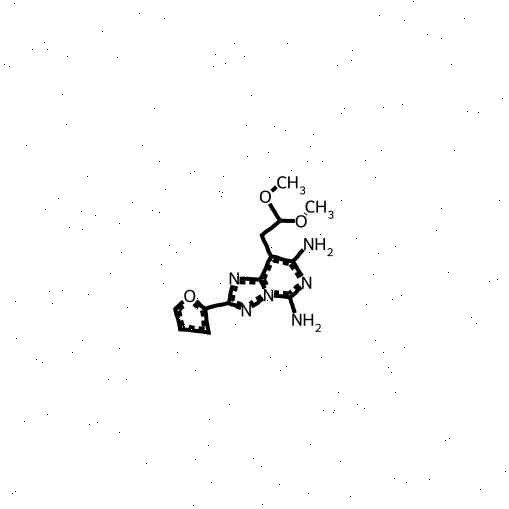 COC(Cc1c(N)nc(N)n2nc(-c3ccco3)nc12)OC